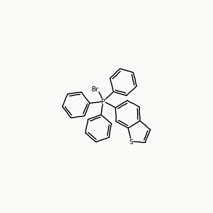 BrP(c1ccccc1)(c1ccccc1)(c1ccccc1)c1ccc2ccsc2c1